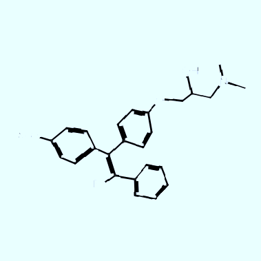 CC/C(=C(/c1ccc(OCC(O)CN(C)C)cc1)c1ccc(OC(C)=O)cc1)c1ccccc1